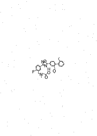 CCc1ccccc1-c1ccc(-c2nc(-c3ccc(F)c(CN(C)CC(=O)O)c3)no2)cc1COC